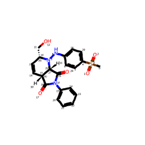 CS(=O)(=O)c1ccc(NN2[C@@H](CO)C=C[C@H]3C(=O)N(c4ccccc4)C(=O)[C@H]32)cc1